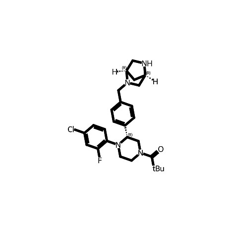 CC(C)(C)C(=O)N1CCN(c2ccc(Cl)cc2F)[C@H](c2ccc(CN3C[C@H]4C[C@@H]3CN4)cc2)C1